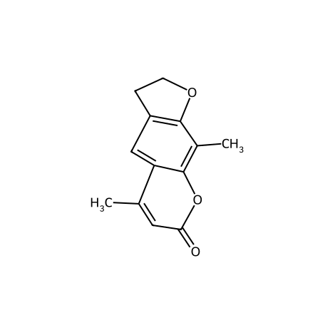 Cc1cc(=O)oc2c(C)c3c(cc12)CCO3